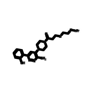 CCCOCCOCCC(=O)N1CCN(c2cc(-c3ccccc3O)nnc2N)CC1